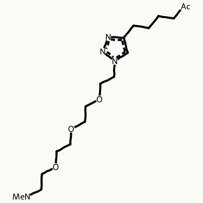 CNCCOCCOCCOCCn1cc(CCCCC(C)=O)nn1